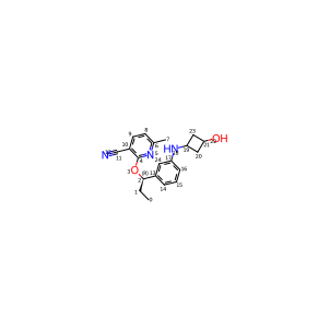 CC[C@@H](Oc1nc(C)ccc1C#N)c1cccc(NC2CC(O)C2)c1